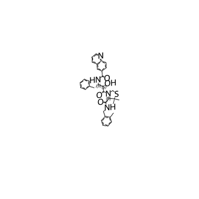 Cc1ccccc1CNC(=O)[C@H]1N(C(=O)[C@@H](O)[C@H](Cc2ccccc2)NC(=O)c2ccc3ncccc3c2)CSC1(C)C